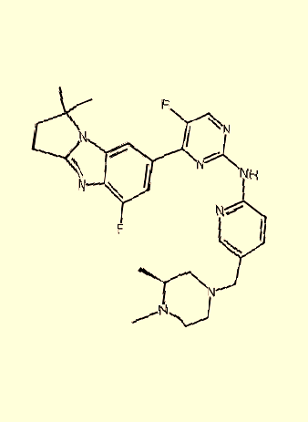 C[C@H]1CN(Cc2ccc(Nc3ncc(F)c(-c4cc(F)c5nc6n(c5c4)C(C)(C)CC6)n3)nc2)CCN1C